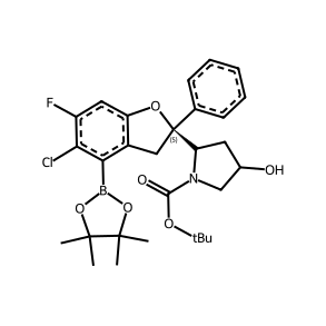 CC(C)(C)OC(=O)N1CC(O)CC1[C@@]1(c2ccccc2)Cc2c(cc(F)c(Cl)c2B2OC(C)(C)C(C)(C)O2)O1